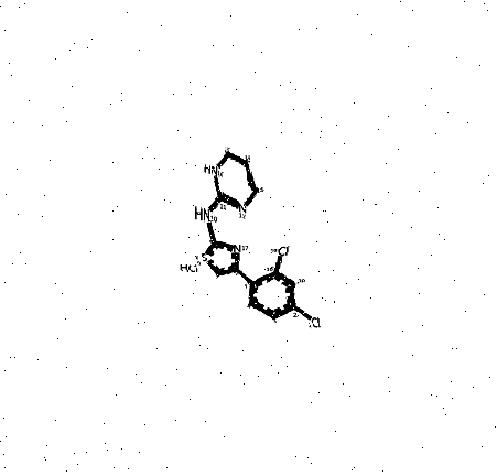 Cl.Clc1ccc(-c2csc(NC3=NCCCN3)n2)c(Cl)c1